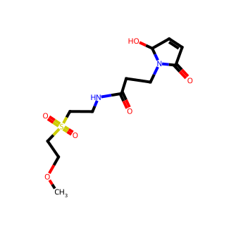 COCCS(=O)(=O)CCNC(=O)CCN1C(=O)C=CC1O